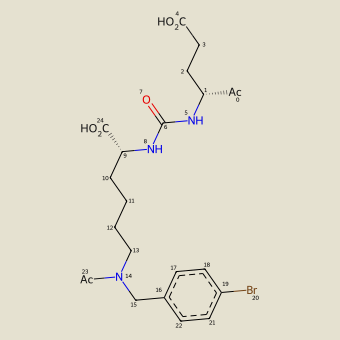 CC(=O)[C@@H](CCC(=O)O)NC(=O)N[C@H](CCCCN(Cc1ccc(Br)cc1)C(C)=O)C(=O)O